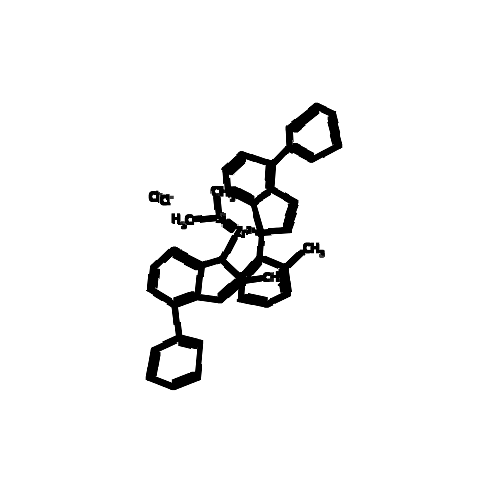 CC1=Cc2c(-c3ccccc3)cccc2[CH]1[Zr+2](=[Si](C)C)[C]1(c2ccccc2C)C=Cc2c(-c3ccccc3)cccc21.[Cl-].[Cl-]